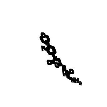 NCC(=O)NC[C@@H]1CN(c2ccc(N3CCOCC3)c(F)c2)C(=O)O1